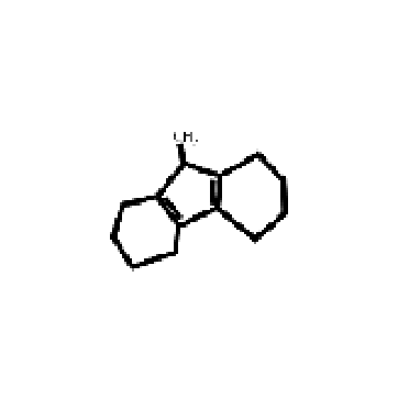 CC1C2=C(CCC[CH]2)C2=C1CCCC2